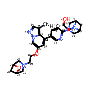 C[C@H](O)CN1C2CC1CN(c1ccc(-c3cc(OCCN4CC5CC(C4)O5)cn4ncc(C#N)c34)cn1)C2